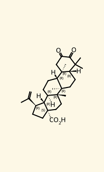 C=C(C)[C@@H]1CC[C@]2(C(=O)O)CC[C@]3(C)[C@H](CC[C@@H]4[C@@]5(C)CC(=O)C(=O)C(C)(C)[C@@H]5CC[C@]43C)[C@@H]12